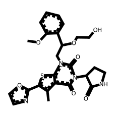 COc1ccccc1C(Cn1c(=O)n(C2CCNC2=O)c(=O)c2c(C)c(-c3ncco3)sc21)OCCO